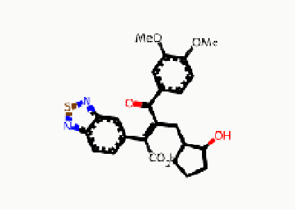 COc1ccc(C(=O)C(CC2CCCC2O)=C(C(=O)O)c2ccc3nsnc3c2)cc1OC